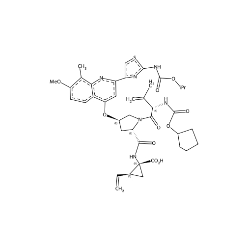 C=C[C@@H]1C[C@]1(NC(=O)[C@@H]1C[C@@H](Oc2cc(-c3csc(NC(=O)OC(C)C)n3)nc3c(C)c(OC)ccc23)CN1C(=O)[C@@H](NC(=O)OC1CCCC1)C(=C)C)C(=O)O